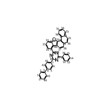 c1ccc(-c2ccc(-c3nc(-c4ccccc4)nc(-c4cccc5oc6c(ccc7ccc8ccccc8c76)c45)n3)cc2)cc1